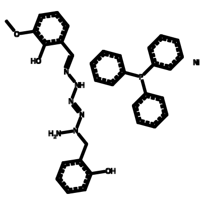 COc1cccc(C=NNN=NN(N)Cc2ccccc2O)c1O.[Ni].c1ccc(P(c2ccccc2)c2ccccc2)cc1